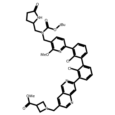 COC(=O)C1CN(Cc2cnc3cc(-c4cccc(-c5cccc(-c6ccc(CN(CC7CCC(=O)N7)C(=O)OC(C)(C)C)c(OC)n6)c5Cl)c4Cl)ncc3c2)C1